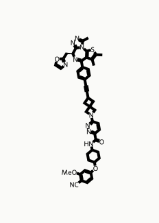 COc1cc(OC2CCC(NC(=O)c3ccc(N4CC5(CC(C#Cc6ccc(C7=N[C@@H](Cc8ncco8)c8nnc(C)n8-c8sc(C)c(C)c87)cc6)C5)C4)nn3)CC2)ccc1C#N